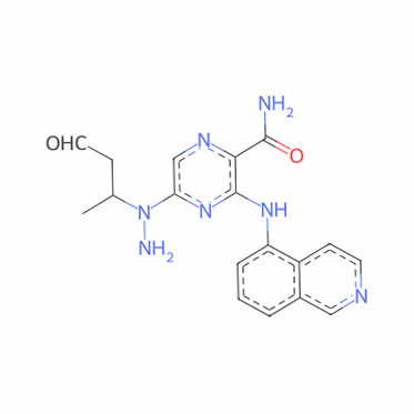 CC(CC=O)N(N)c1cnc(C(N)=O)c(Nc2cccc3cnccc23)n1